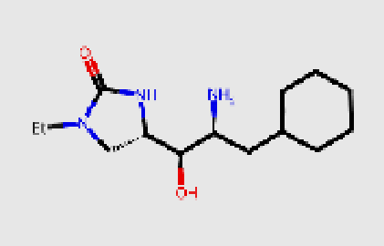 CCN1C[C@@H]([C@H](O)[C@@H](N)CC2CCCCC2)NC1=O